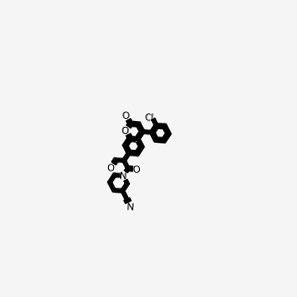 N#CC1CCCN(C(=O)C(C=O)c2ccc3c(-c4ccccc4Cl)cc(=O)oc3c2)C1